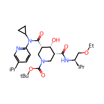 CCOC[C@H](NC(=O)[C@@H]1CN(C(=O)OC(C)(C)C)C[C@H](C(=O)N(c2ccc(C(C)C)cn2)C2CC2)[C@@H]1O)C(C)C